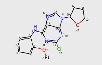 CCOc1ccccc1Nc1nc(Cl)nc2c1ncn2C1CCCO1